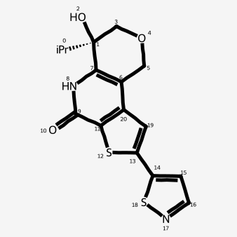 CC(C)[C@]1(O)COCc2c1[nH]c(=O)c1sc(-c3ccns3)cc21